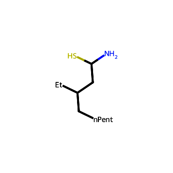 CCCCCCC(CC)CC(N)S